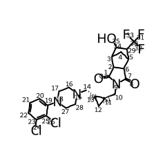 O=C1C2C3CC(C2C(=O)N1C[C@H]1C[C@@H]1CN1CCN(c2cccc(Cl)c2Cl)CC1)C(C(F)(F)F)C3O